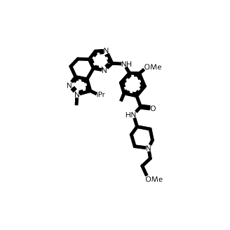 COCCN1CCC(NC(=O)c2cc(OC)c(Nc3ncc4c(n3)-c3c(nn(C)c3C(C)C)CC4)cc2C)CC1